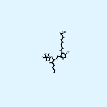 CCCCC(C)[C@H](CCC1=CC[C@H](O)[C@@H]1CCCCCCC(=O)O)O[Si](C)(C)C(C)(C)C